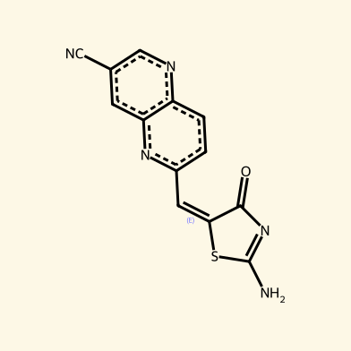 N#Cc1cnc2ccc(/C=C3/SC(N)=NC3=O)nc2c1